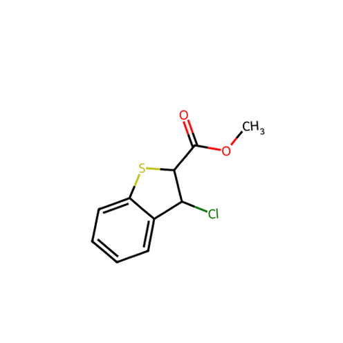 COC(=O)C1Sc2ccccc2C1Cl